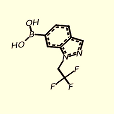 OB(O)c1ccc2cnn(CC(F)(F)F)c2c1